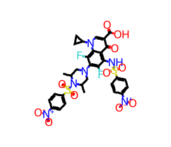 CC1CN(c2c(F)c(NS(=O)(=O)c3ccc([N+](=O)[O-])cc3)c3c(=O)c(C(=O)O)cn(C4CC4)c3c2F)CC(C)N1S(=O)(=O)c1ccc([N+](=O)[O-])cc1